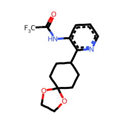 O=C(Nc1cccnc1C1CCC2(CC1)OCCO2)C(F)(F)F